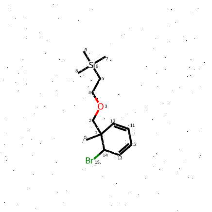 [CH2]C1(COCC[Si](C)(C)C)C=CC=CC1Br